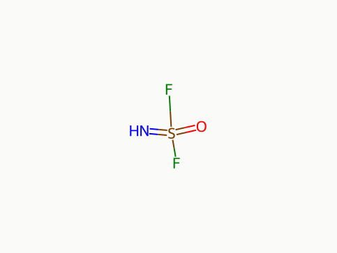 N=S(=O)(F)F